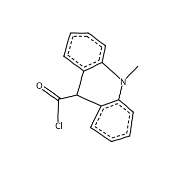 CN1c2ccccc2C(C(=O)Cl)c2ccccc21